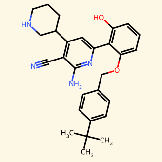 CC(C)(C)c1ccc(COc2cccc(O)c2-c2cc(C3CCCNC3)c(C#N)c(N)n2)cc1